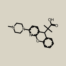 CN1CCN(c2ccc3c(n2)Oc2ccccc2C3C(C)(C)C(=O)O)CC1